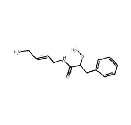 COC(Cc1ccccc1)C(=O)NC/C=C/CN